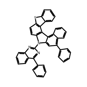 c1ccc(-c2nc(-n3c4cc(-c5ccccc5)c5ccccc5c4c4c5c(ccc43)sc3ccccc35)nc3ccccc23)cc1